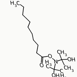 CCCCCCCCCC(=O)ON(C(C)(C)O)C(C)(C)O